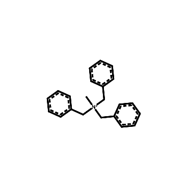 C[N+](Cc1ccccc1)(Cc1ccccc1)Cc1ccccc1